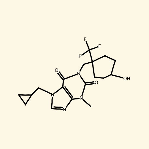 Cn1c(=O)n(CC2(C(F)(F)F)CCC(O)CC2)c(=O)c2c1ncn2CC1CC1